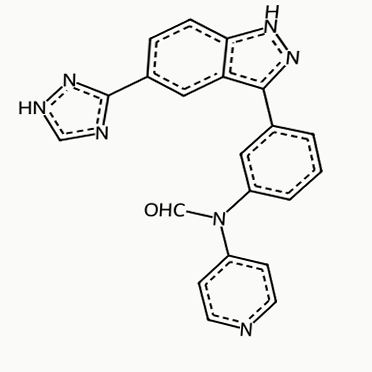 O=CN(c1ccncc1)c1cccc(-c2n[nH]c3ccc(-c4nc[nH]n4)cc23)c1